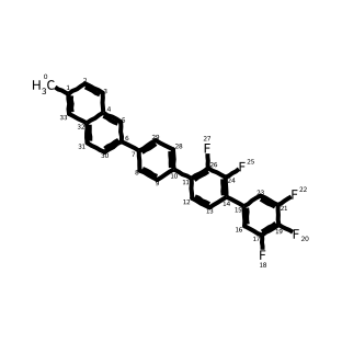 Cc1ccc2cc(-c3ccc(-c4ccc(-c5cc(F)c(F)c(F)c5)c(F)c4F)cc3)ccc2c1